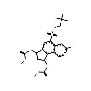 CC(C)(F)CNS(=O)(=O)c1cc2c(c3cnc(Cl)cc13)C(NC(=O)OC(C)(C)C)CC2NC(=O)OC(C)(C)C